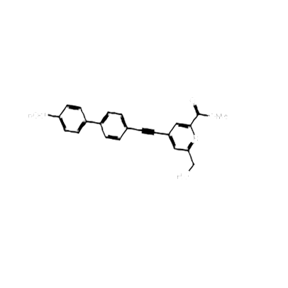 CCCCCCCCc1ccc(-c2ccc(C#Cc3cc(CO)nc(C(=O)OC)c3)cc2)cc1